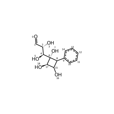 O=C[C@H](O)[C@H](O)[C@@]1(O)C(c2ccccc2)C(O)[C@H]1O